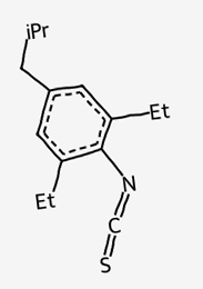 CCc1cc(CC(C)C)cc(CC)c1N=C=S